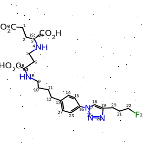 O=C(O)CC[C@H](NCC[C@@H](NCCCCc1ccc(-n2cc(CCCF)nn2)cc1)C(=O)O)C(=O)O